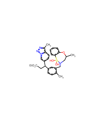 CCOC(=O)CC(c1ccc(C)c(CN2CC(C)Oc3ccccc3S2(O)O)c1)c1ccc2c(C)nnn2c1